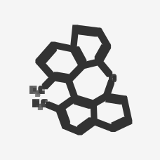 Cc1ccc2cccc3oc4cccc5ccc(C)c(c1c23)c54